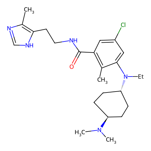 CCN(c1cc(Cl)cc(C(=O)NCCc2[nH]cnc2C)c1C)[C@H]1CC[C@H](N(C)C)CC1